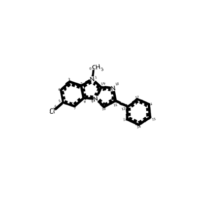 Cn1c2ccc(Cl)cc2n2cc(-c3ccccc3)nc12